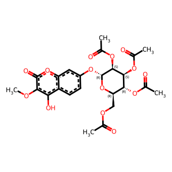 COc1c(O)c2ccc(O[C@H]3O[C@H](COC(C)=O)[C@@H](OC(C)=O)[C@H](OC(C)=O)[C@@H]3OC(C)=O)cc2oc1=O